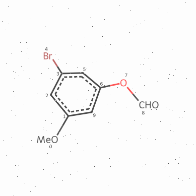 COc1cc(Br)cc(OC=O)c1